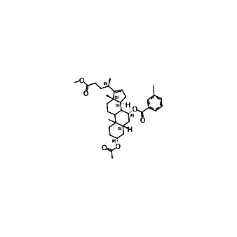 COC(=O)CC[C@@H](C)C1=CC[C@H]2C3C(CC[C@]12C)C1(C)CC[C@@H](OC(C)=O)C[C@H]1C[C@H]3OC(=O)c1cccc(I)c1